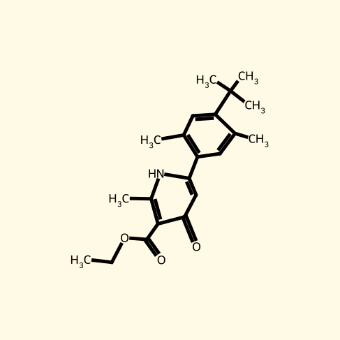 CCOC(=O)c1c(C)[nH]c(-c2cc(C)c(C(C)(C)C)cc2C)cc1=O